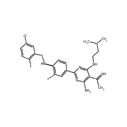 CC(=N)c1c(N)nc(-c2ccc(NSc3cc(Cl)ccc3F)c(F)c2)nc1NCCN(C)C